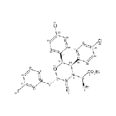 CCC[C@H](C(=O)OCC)N1C(=O)[C@H](Cc2cccc(I)c2)O[C@@H](c2ccc(Cl)cc2)[C@H]1c1ccc(Cl)cc1